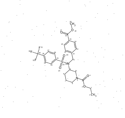 CCOC(=O)N1CCCC(N(Cc2ccc(C(=O)OC)cc2)S(=O)(=O)c2ccc(C(F)(F)F)cc2)C1